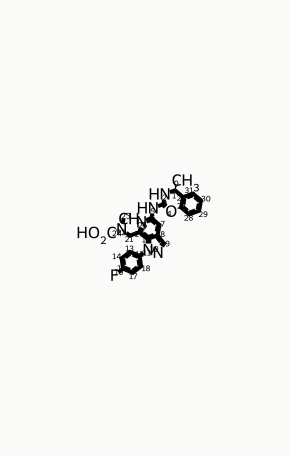 C[C@@H](NC(=O)Nc1cc2cnn(-c3ccc(F)cc3)c2c(CN(C)C(=O)O)n1)c1ccccc1